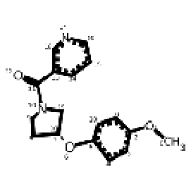 COc1ccc(O[C@@H]2CCN(C(=O)c3cccnc3)C2)cc1